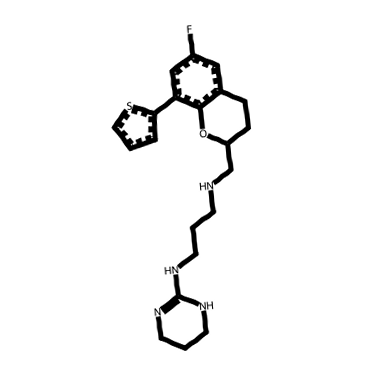 Fc1cc2c(c(-c3cccs3)c1)OC(CNCCCNC1=NCCCN1)CC2